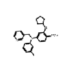 COc1ccc(N(Cc2cccnc2)c2cccc(C)c2)cc1OC1CCCC1